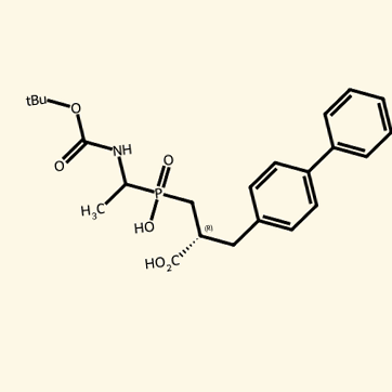 CC(NC(=O)OC(C)(C)C)P(=O)(O)C[C@H](Cc1ccc(-c2ccccc2)cc1)C(=O)O